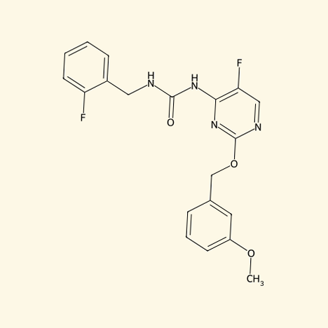 COc1cccc(COc2ncc(F)c(NC(=O)NCc3ccccc3F)n2)c1